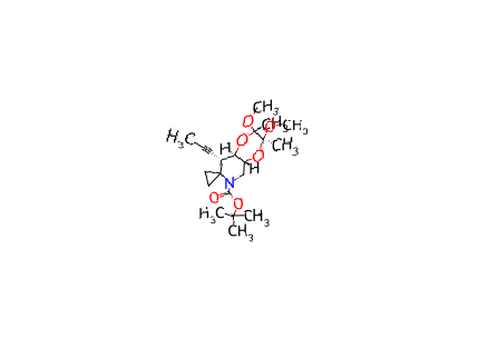 CC#C[C@@H]1[C@H]2O[C@](C)(OC)[C@@](C)(OC)O[C@@H]2CN(C(=O)OC(C)(C)C)C12CC2